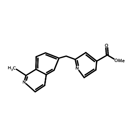 COC(=O)c1ccnc(Cc2ccc3c(C)nccc3c2)c1